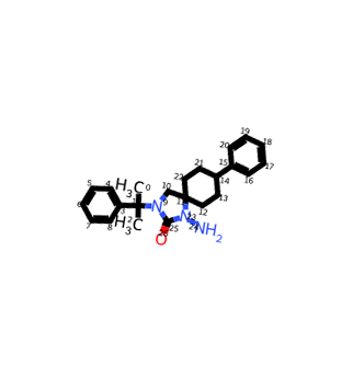 CC(C)(c1ccccc1)N1CC2(CCC(c3ccccc3)CC2)N(N)C1=O